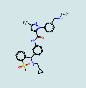 CS(=O)(=O)c1ccccc1C(NCC1CC1)c1cccc(NC(=O)c2cc(C(F)(F)F)nn2-c2cccc(CNC(=O)O)c2)c1